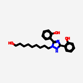 OCCCCCCCCCN1NC(c2ccccc2O)N=C1c1ccccc1O